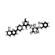 Cc1nc(NC[C@H](NC(=O)OCc2ccccc2Br)C(=O)O)c(C)c(N2CCC(c3ccc4c(n3)NCCC4)CC2)n1